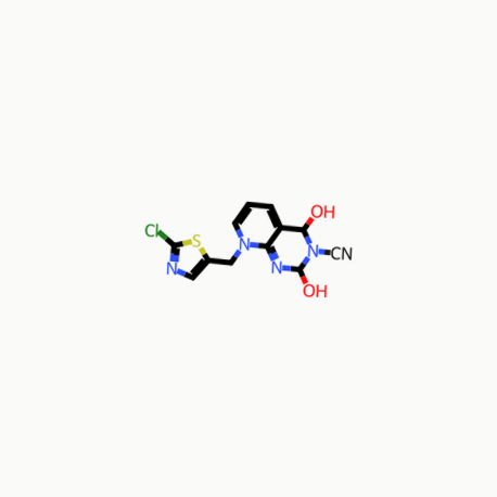 N#CN1C(O)N=C2C(=CC=CN2Cc2cnc(Cl)s2)C1O